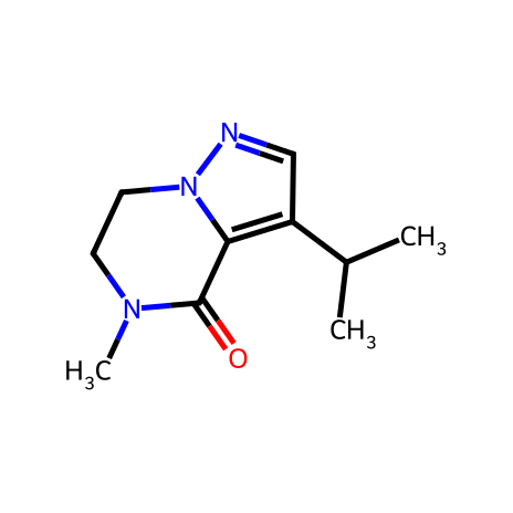 CC(C)c1cnn2c1C(=O)N(C)CC2